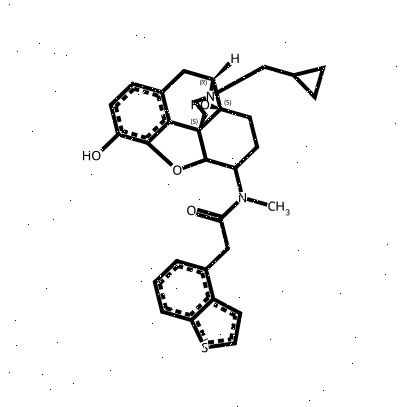 CN(C(=O)Cc1cccc2sccc12)C1CC[C@@]2(O)[C@H]3Cc4ccc(O)c5c4[C@@]2(CCN3CC2CC2)C1O5